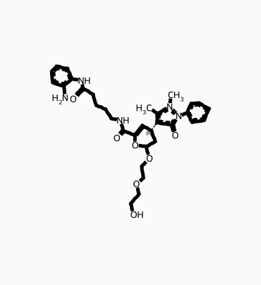 Cc1c([C@H]2C=C(C(=O)NCCCCC(=O)Nc3ccccc3N)OC(OCCOCCO)C2)c(=O)n(-c2ccccc2)n1C